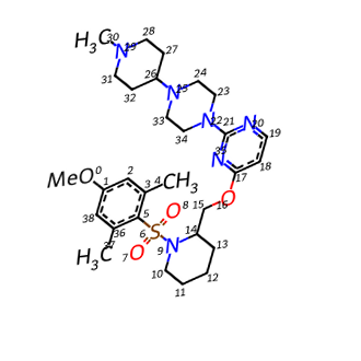 COc1cc(C)c(S(=O)(=O)N2CCCCC2COc2ccnc(N3CCN(C4CCN(C)CC4)CC3)n2)c(C)c1